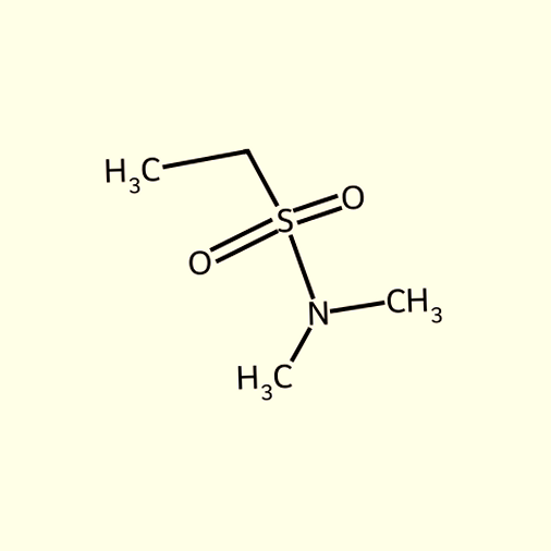 CCS(=O)(=O)N(C)C